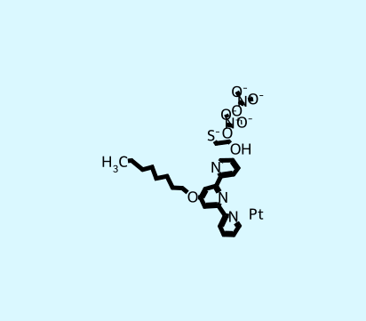 CCCCCCCCOc1cc(-c2ccccn2)nc(-c2ccccn2)c1.O=[N+]([O-])[O-].O=[N+]([O-])[O-].OCC[S-].[Pt]